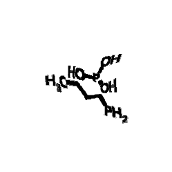 CCCCP.OP(O)O